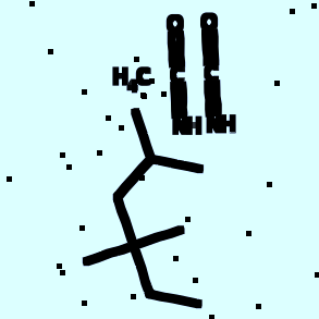 C.CCC(C)(C)CC(C)C.N=C=O.N=C=O